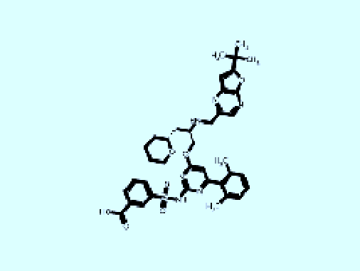 Cc1cccc(C)c1-c1cc(OC[C@@H](C[C@H]2CCCCO2)NCc2cnc3oc(C(C)(C)C)cc3n2)nc(NS(=O)(=O)c2cccc(C(=O)O)c2)n1